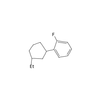 CCC1CCCC(c2ccccc2F)C1